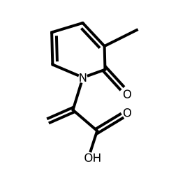 C=C(C(=O)O)n1cccc(C)c1=O